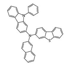 c1ccc(-n2c3ccccc3c3ccc(N(c4ccc5ccccc5c4)c4ccc5c(c4)sc4ccccc45)cc32)cc1